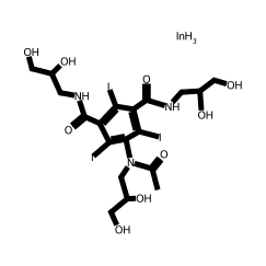 CC(=O)N(CC(O)CO)c1c(I)c(C(=O)NCC(O)CO)c(I)c(C(=O)NCC(O)CO)c1I.[InH3]